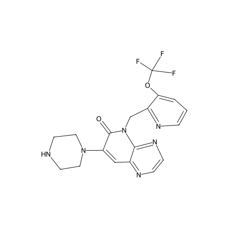 O=c1c(N2CCNCC2)cc2nccnc2n1Cc1ncccc1OC(F)(F)F